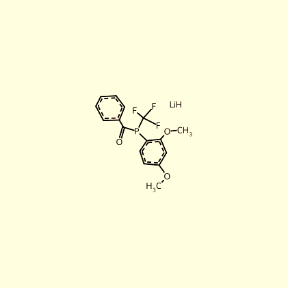 COc1ccc(P(C(=O)c2ccccc2)C(F)(F)F)c(OC)c1.[LiH]